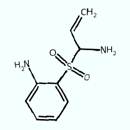 C=CC(N)S(=O)(=O)c1ccccc1N